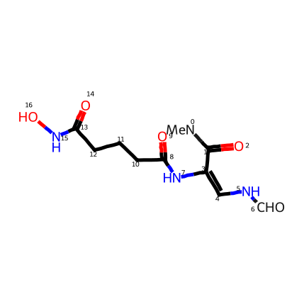 CNC(=O)/C(=C\NC=O)NC(=O)CCCC(=O)NO